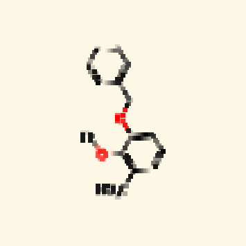 CCOc1c(OCc2ccccc2)cccc1C(=O)O